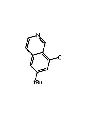 CC(C)(C)c1cc(Cl)c2cnccc2c1